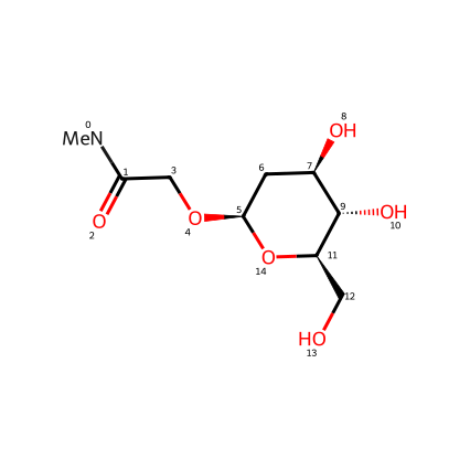 CNC(=O)CO[C@H]1C[C@@H](O)[C@H](O)[C@@H](CO)O1